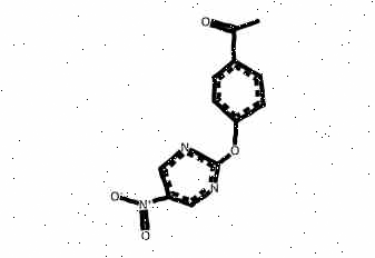 CC(=O)c1ccc(Oc2ncc([N+](=O)[O-])cn2)cc1